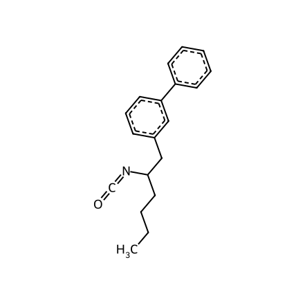 CCCCC(Cc1cccc(-c2ccccc2)c1)N=C=O